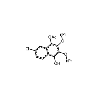 CCCOc1c(OCCC)c(OC(C)=O)c2cc(Cl)ccc2c1O